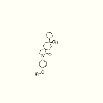 CC(C)Oc1ccc(N2CC[C@]3(CC[C@@](O)(C4CCCC4)CC3)C2=O)cc1